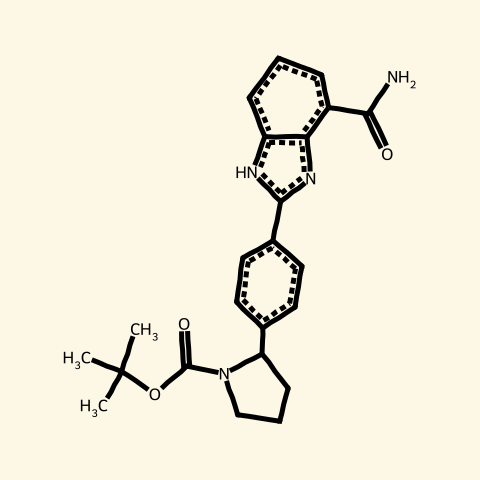 CC(C)(C)OC(=O)N1CCCC1c1ccc(-c2nc3c(C(N)=O)cccc3[nH]2)cc1